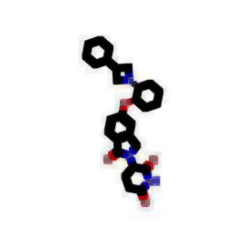 O=C1CCC(N2Cc3cc(O[C@@H]4CCCC[C@H]4N4CC(C5CCCCC5)C4)ccc3C2=O)C(=O)N1